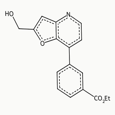 CCOC(=O)c1cccc(-c2ccnc3cc(CO)oc23)c1